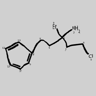 CCC(N)(CCCl)CCc1ccccc1